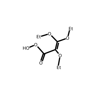 CCOC(OCC)=C(OCC)C(=O)OO